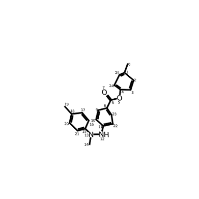 Cc1ccc(OC(=O)c2ccc(NN(C)c3ccc(C)cc3)cc2)cc1